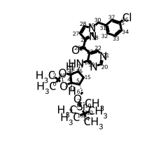 CC1(C)O[C@@H]2[C@@H](CO[Si](C)(C)C(C)(C)C)C[C@@H](Nc3ncncc3C(=O)c3ccn(Cc4cccc(Cl)c4)n3)[C@@H]2O1